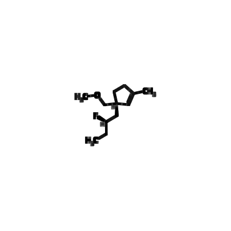 CC[C@@H](F)C[C@]1(COC)C=C(C)CC1